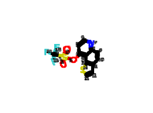 O=S(=O)(Oc1ccnc2ccc3ccsc3c12)C(F)(F)F